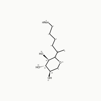 CCCCCCCCCCCCCC(C)C1OC[C@@H](O)[C@H](O)[C@H]1O